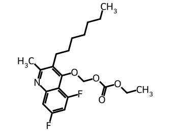 CCCCCCCc1c(C)nc2cc(F)cc(F)c2c1OCOC(=O)OCC